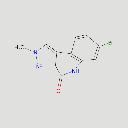 Cn1cc2c(n1)c(=O)[nH]c1cc(Br)ccc12